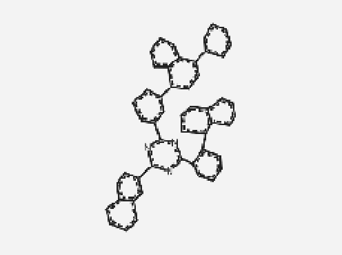 c1ccc(-c2ccc(-c3cccc(-c4nc(-c5ccc6ccccc6c5)nc(-c5ccccc5-c5cccc6ccccc56)n4)c3)c3ccccc23)cc1